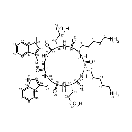 NCCCCC[C@@H]1NC(=O)[C@H](CCCCCN)NC(=O)[C@H](CCC(=O)O)NC(=O)[C@H](Cc2c[nH]c3ccccc23)NC(=O)[C@H](Cc2c[nH]c3ccccc23)NC(=O)[C@H](CCC(=O)O)NC1=O